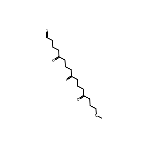 COCCCC(=O)CCCC(=O)CCCC(=O)CCCC=O